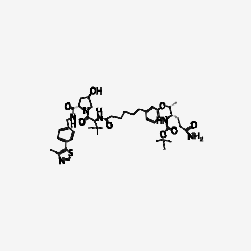 Cc1ncsc1-c1ccc(CNC(=O)[C@@H]2C[C@@H](O)CN2C(=O)[C@@H](NC(=O)CCCCCc2cccc(O[C@H](C)[C@H](CCC(N)=O)NC(=O)OC(C)(C)C)c2)C(C)(C)C)cc1